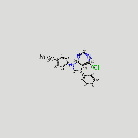 O=C(O)c1ccc(-n2cc(-c3ccccc3)c3c(Cl)ncnc32)cc1